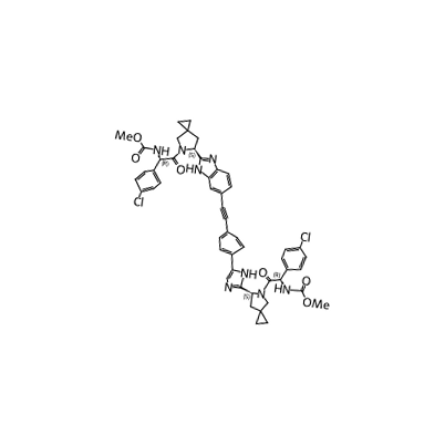 COC(=O)N[C@@H](C(=O)N1CC2(CC2)C[C@H]1c1ncc(-c2ccc(C#Cc3ccc4nc([C@@H]5CC6(CC6)CN5C(=O)[C@H](NC(=O)OC)c5ccc(Cl)cc5)[nH]c4c3)cc2)[nH]1)c1ccc(Cl)cc1